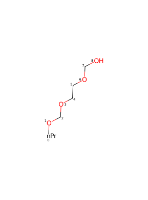 CCCOCOCCOCO